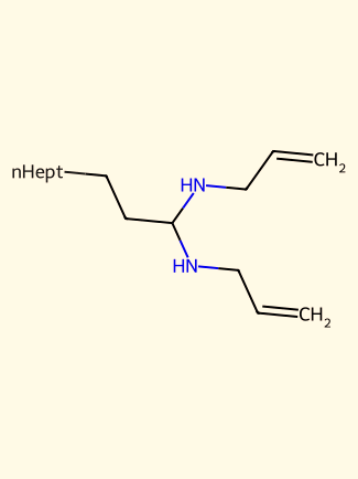 C=CCNC(CCCCCCCCC)NCC=C